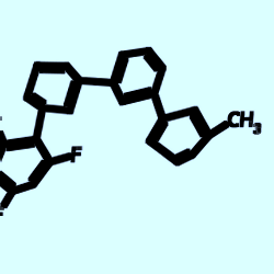 Cc1cccc(-c2cccc(-c3cccc(-c4c(F)cc(F)cc4F)c3)c2)c1